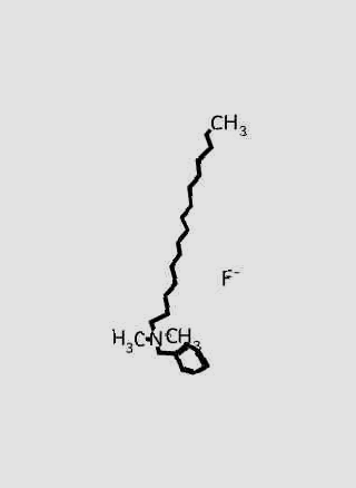 CCCCCCCCCCCCCCCC[N+](C)(C)Cc1ccccc1.[F-]